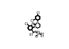 CCN[S+]([O-])NC(CC)c1ccc(Cl)c2nc3n(c12)CCCN3c1ccc(Cl)cc1Cl